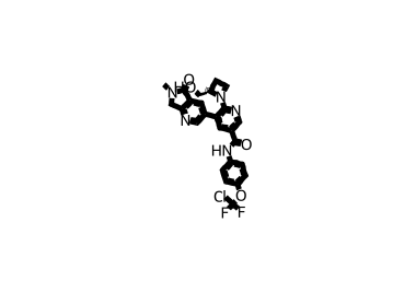 CN1Cc2ncc(-c3cc(C(=O)Nc4ccc(OC(F)(F)Cl)cc4)cnc3N3CC[C@@H]3CO)cc2C1=O